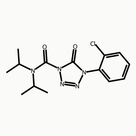 CC(C)N(C(=O)n1nnn(-c2ccccc2Cl)c1=O)C(C)C